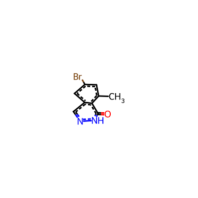 Cc1cc(Br)cc2cn[nH]c(=O)c12